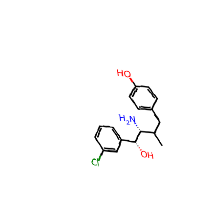 CC(Cc1ccc(O)cc1)[C@@H](N)[C@H](O)c1cccc(Cl)c1